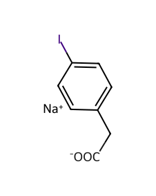 O=C([O-])Cc1ccc(I)cc1.[Na+]